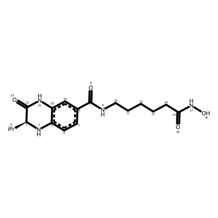 CC(C)[C@@H]1Nc2ccc(C(=O)NCCCCCC(=O)NO)cc2NC1=O